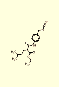 CCOC(=O)C(CCC(C)C)C(=O)Nc1ccc(CN=[N+]=[N-])cc1